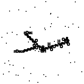 CCCCCCCCCCCCCCCCCC(=O)OC[C@H](COP(=O)(O)OCCNC(=O)COCCNC(=O)CCN1C(=O)CC(C)C1=O)OC(=O)CCCCCCCCCCCCCCCCC